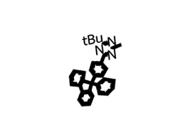 Cc1nc(-c2ccc(C3(c4ccccc4)c4ccccc4-c4ccccc43)cc2)nc(C(C)(C)C)n1